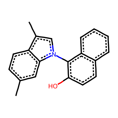 Cc1ccc2c(C)cn(-c3c(O)ccc4ccccc34)c2c1